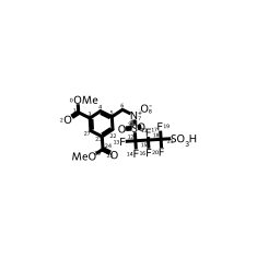 COC(=O)c1cc(C[NH+]([O-])S(=O)(=O)C(F)(F)C(F)(F)C(F)(F)S(=O)(=O)O)cc(C(=O)OC)c1